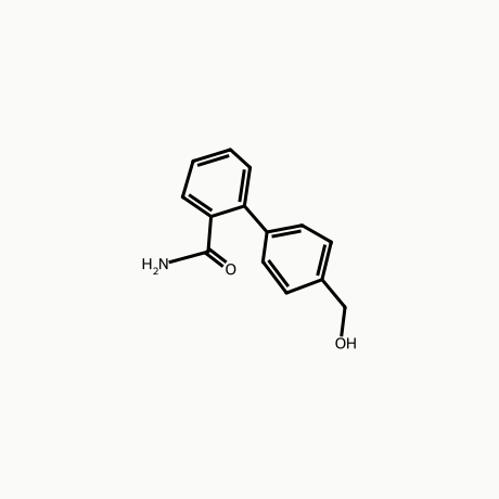 NC(=O)c1ccccc1-c1ccc(CO)cc1